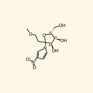 COCCC1(n2ccc([N+](=O)[O-])c2)O[C@H](CO)[C@@H](O)[C@H]1O